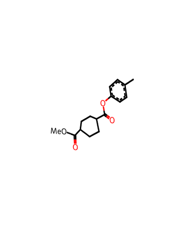 COC(=O)C1CCC(C(=O)Oc2ccc(C)cc2)CC1